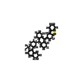 CC1(C)c2ccc(-c3c4ccccc4c(-c4ccc5sc6ccccc6c5c4)c4ccccc34)cc2-c2c1ccc1ccccc21